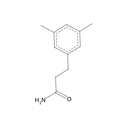 Cc1cc(C)cc(CCC(N)=O)c1